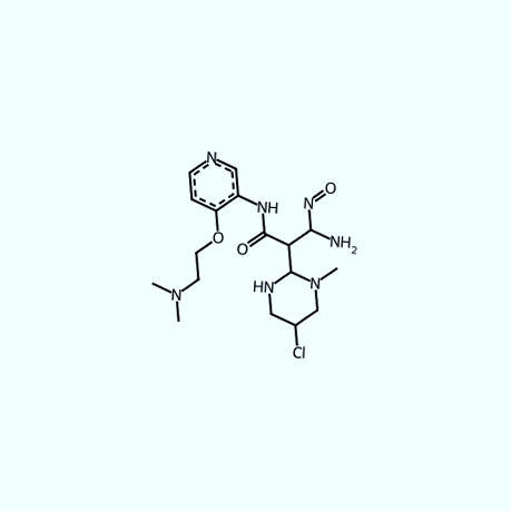 CN(C)CCOc1ccncc1NC(=O)C(C(N)N=O)C1NCC(Cl)CN1C